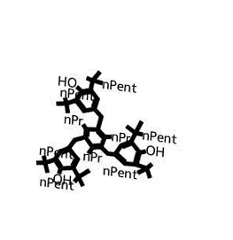 CCCCCC(C)(C)c1cc(Cc2c(CCC)c(Cc3cc(C(C)(C)CCCCC)c(O)c(C(C)(C)CCCCC)c3)c(CCC)c(Cc3cc(C(C)(C)CCCCC)c(O)c(C(C)(C)CCCCC)c3)c2CCC)cc(C(C)(C)CCCCC)c1O